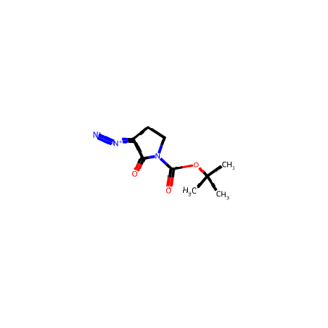 CC(C)(C)OC(=O)N1CCC(=[N+]=[N-])C1=O